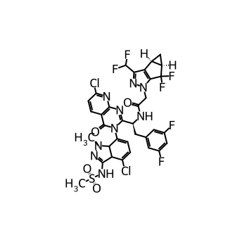 CN1N=C(NS(C)(=O)=O)C2C(Cl)=CC=C(n3c([C@H](Cc4cc(F)cc(F)c4)NC(=O)Cn4nc(C(F)F)c5c4C(F)(F)[C@@H]4C[C@H]54)nc4nc(Cl)ccc4c3=O)C21